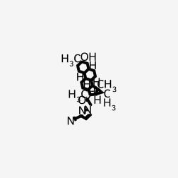 C[C@@H]1[C@@H]2[C@@H](C(=O)Cn3ccc(C#N)n3)[C@@]3(C)CC[C@H]4[C@@H](CC[C@@H]5C[C@](C)(O)CC[C@@H]54)[C@@H]3[C@@]21C